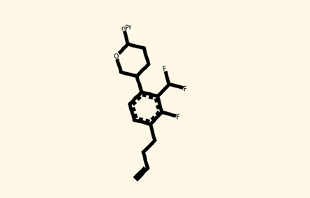 C=CCCc1ccc(C2CCC(CCC)OC2)c(C(F)F)c1F